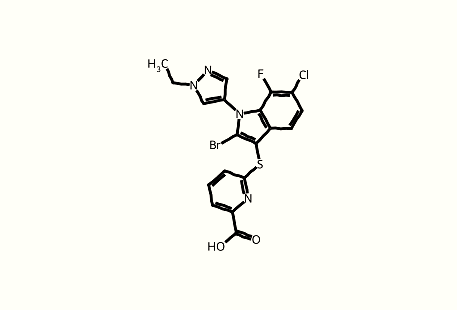 CCn1cc(-n2c(Br)c(Sc3cccc(C(=O)O)n3)c3ccc(Cl)c(F)c32)cn1